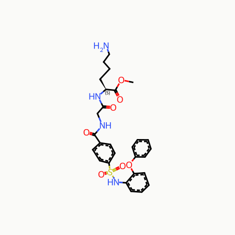 COC(=O)[C@H](CCCCN)NC(=O)CNC(=O)c1ccc(S(=O)(=O)Nc2ccccc2Oc2ccccc2)cc1